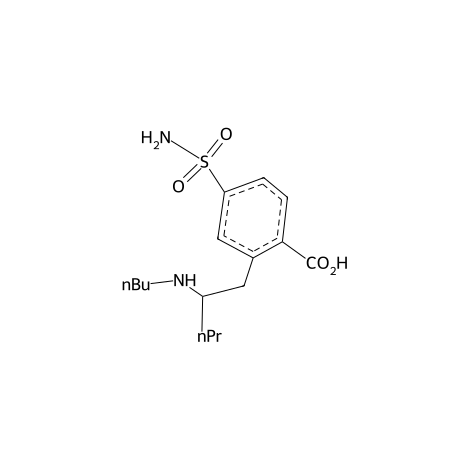 CCCCNC(CCC)Cc1cc(S(N)(=O)=O)ccc1C(=O)O